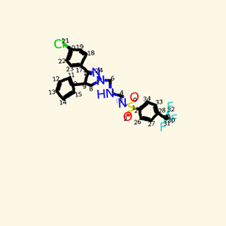 O=S(=O)(/N=C/NCN1CC(c2ccccc2)C(c2ccc(Cl)cc2)=N1)c1ccc(C(F)(F)F)cc1